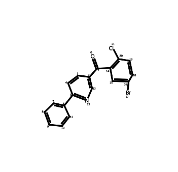 O=C(c1ccc(-c2ccccc2)nc1)c1cc(Br)ccc1Cl